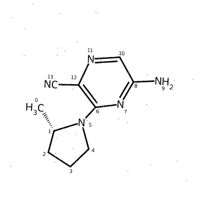 C[C@H]1CCCN1c1nc(N)cnc1C#N